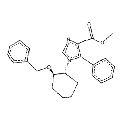 COC(=O)c1ncn([C@@H]2CCCC[C@H]2OCc2ccccc2)c1-c1ccccc1